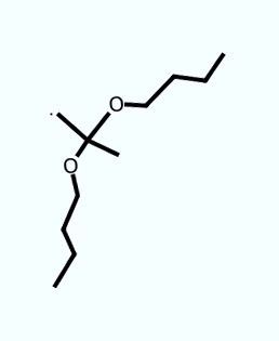 [CH2]C(C)(OCCCC)OCCCC